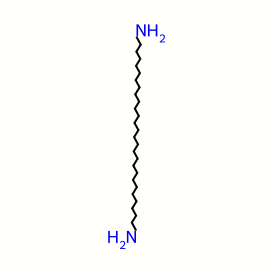 NCCCCCCCCCCCCCCCCCCCCCCCCCCCCN